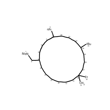 CCCC1CCCC(CNC)CCCCCCC(C)(CC)CCCC(C(C)(C)C)CCC1